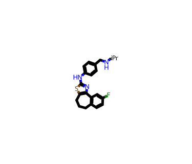 CC(C)NCc1ccc(Nc2nc3c(s2)CCCc2ccc(F)cc2-3)cc1